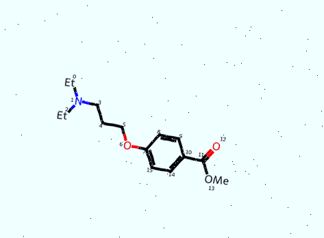 CCN(CC)CCCOc1ccc(C(=O)OC)cc1